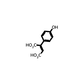 O=C(O)C=C(C(=O)O)c1ccc(O)cc1